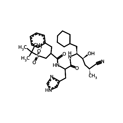 C[C@@H](C#N)C[C@H](O)[C@H](CC1CCCCC1)NC(=O)C(Cc1c[nH]cn1)NC(=O)C(Cc1ccccc1)CS(=O)(=O)C(C)(C)C